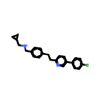 Clc1ccc(-c2ccc(CCc3ccc(CNCC4CC4)cc3)nc2)cc1